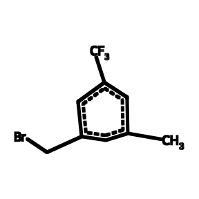 Cc1cc(CBr)cc(C(F)(F)F)c1